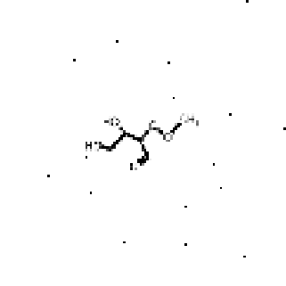 COO[C@@H](C=O)[C@H](O)CO